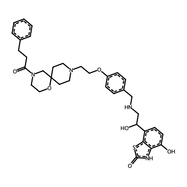 O=C(CCc1ccccc1)N1CCOC2(CCN(CCOc3ccc(CNCC(O)c4ccc(O)c5[nH]c(=O)sc45)cc3)CC2)C1